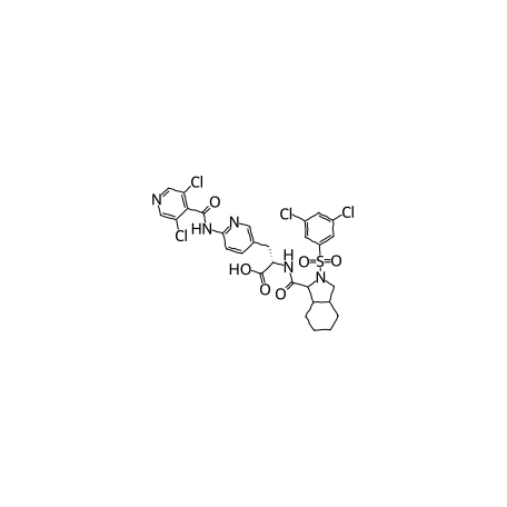 O=C(Nc1ccc(C[C@H](NC(=O)C2C3CCCCC3CN2S(=O)(=O)c2cc(Cl)cc(Cl)c2)C(=O)O)cn1)c1c(Cl)cncc1Cl